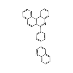 c1ccc2ncc(-c3ccc(-c4nc5ccccc5c5c4ccc4ccccc45)cc3)cc2c1